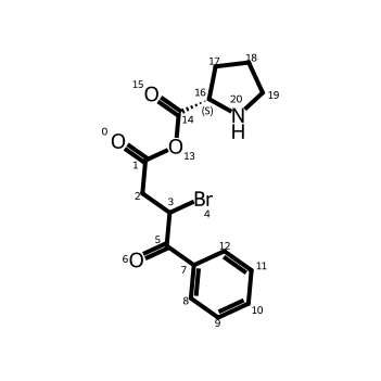 O=C(CC(Br)C(=O)c1ccccc1)OC(=O)[C@@H]1CCCN1